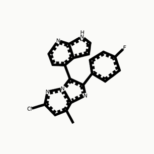 Cc1cc(Cl)nn2c(-c3ccnc4[nH]ccc34)c(-c3ccc(F)cc3)nc12